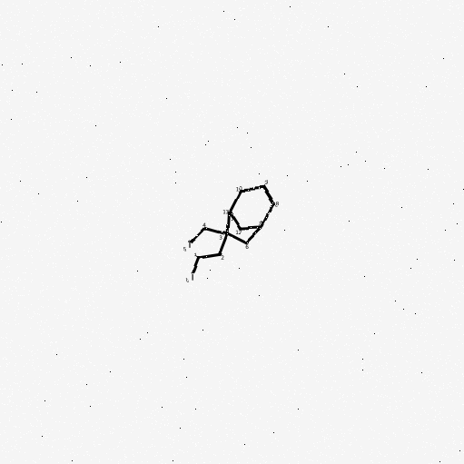 ICCC1(CI)CC2CCCC1C2